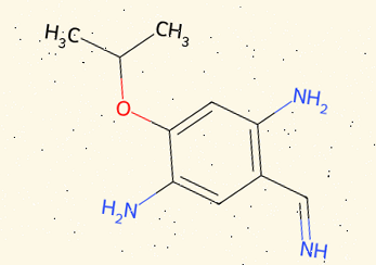 CC(C)Oc1cc(N)c(C=N)cc1N